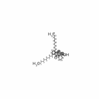 CCCCCCCCCCc1ccc(CCCCCCCCCC)c2c1C(=O)N(C1(C(=O)O)CCCCC1C(=O)O)C2=O